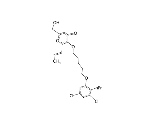 CC=Cc1oc(CO)cc(=O)c1OCCCCCOc1cc(Cl)cc(Cl)c1CCC